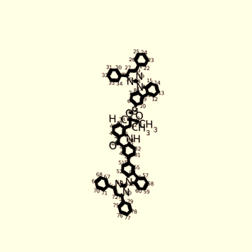 CC1(C)OB(c2ccc3c(c2)c2ccccc2n3-c2nc(-c3ccccc3)cc(-c3ccccc3)n2)OC1(C)Cc1cccc2c(=O)c3cc(-c4ccc5c(c4)c4ccccc4n5-c4nc(-c5ccccc5)cc(-c5ccccc5)n4)ccc3[nH]c12